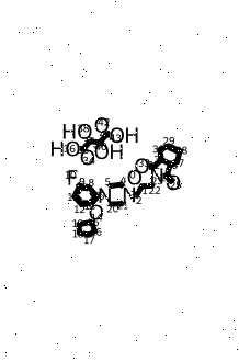 O=C(CN1CCN(c2cc(F)ccc2OC2CCCC2)CC1)CN1C(=O)C2CC=CCC2C1=O.O=C(O)C(O)C(O)C(=O)O